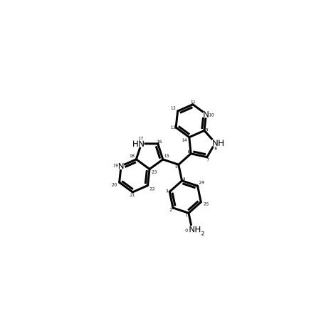 Nc1ccc(C(c2c[nH]c3ncccc23)c2c[nH]c3ncccc23)cc1